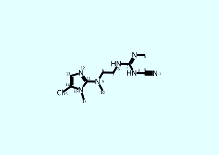 C/N=C(\NC#N)NCCN(C)c1ncc(Cl)n1C